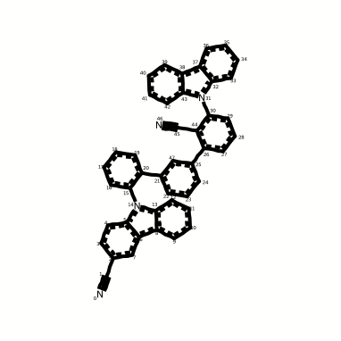 N#Cc1ccc2c(c1)c1ccccc1n2-c1ccccc1-c1cccc(-c2cccc(-n3c4ccccc4c4ccccc43)c2C#N)c1